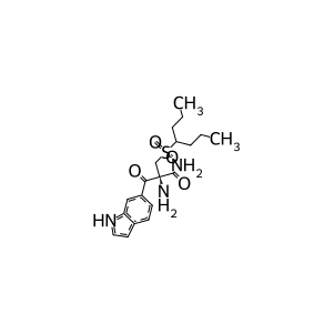 CCCC(CCC)S(=O)(=O)C[C@](N)(C(N)=O)C(=O)c1ccc2cc[nH]c2c1